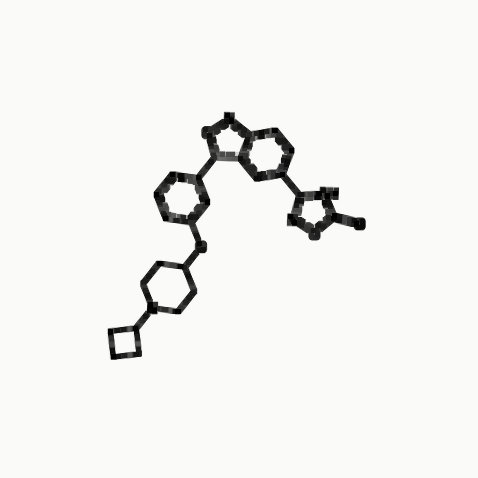 O=c1[nH]c(-c2ccc3noc(-c4cccc(OC5CCN(C6CCC6)CC5)c4)c3c2)no1